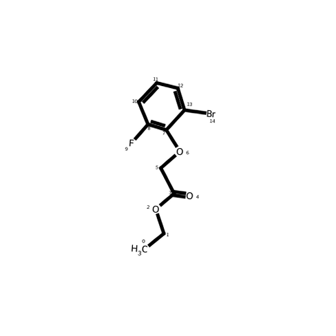 CCOC(=O)COc1c(F)cccc1Br